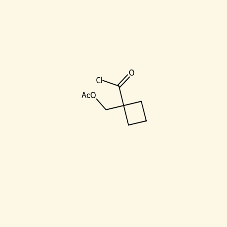 CC(=O)OCC1(C(=O)Cl)CCC1